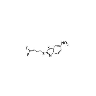 O=[N+]([O-])c1ccc2nc(SCCC=C(F)F)sc2c1